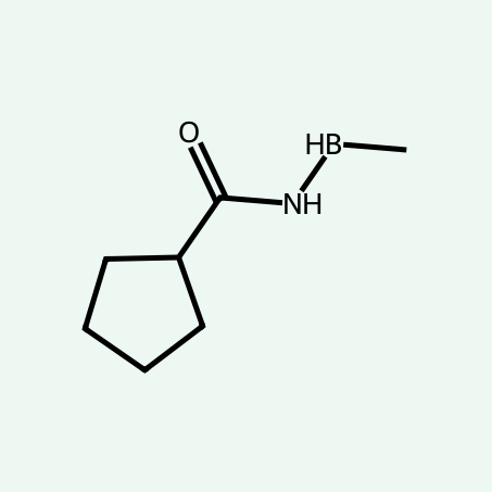 CBNC(=O)C1CCCC1